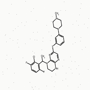 CC(c1c(F)ccc(F)c1Cl)N1CCNc2ncc(Sc3cccc(N4CCN(C)CC4)c3)nc21